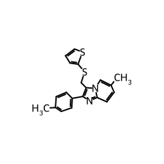 Cc1ccc(-c2nc3ccc(C)cn3c2CSc2cccs2)cc1